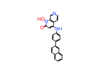 O=c1cc(Nc2ccc(-c3ccc4ccccc4c3)cc2)c2ccncc2n1O